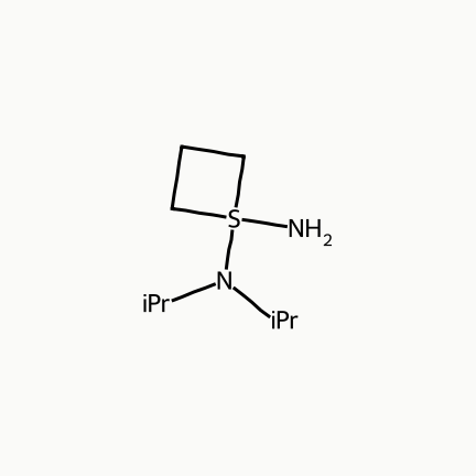 CC(C)N(C(C)C)S1(N)CCC1